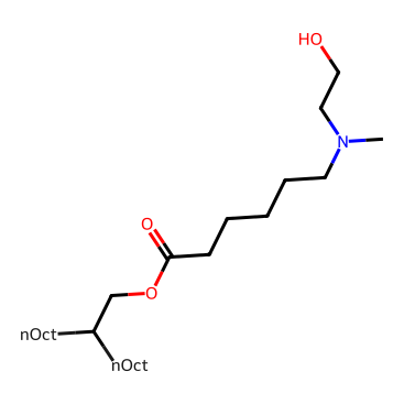 CCCCCCCCC(CCCCCCCC)COC(=O)CCCCCN(C)CCO